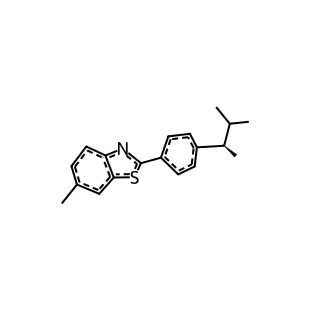 Cc1ccc2nc(-c3ccc([C@H](C)C(C)C)cc3)sc2c1